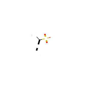 C=C=C(C)S(=O)(=O)O